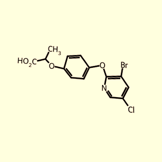 CC(Oc1ccc(Oc2ncc(Cl)cc2Br)cc1)C(=O)O